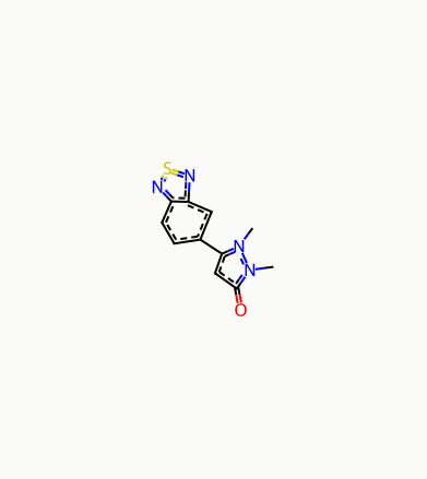 Cn1c(-c2ccc3nsnc3c2)cc(=O)n1C